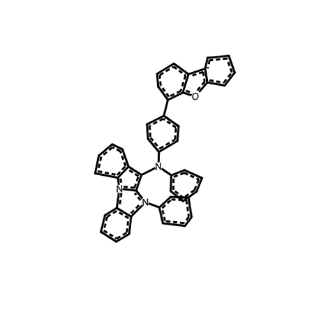 c1ccc(N(c2ccc(-c3cccc4c3oc3ccccc34)cc2)c2c3ccccc3n3c4ccccc4n(-c4ccccc4)c23)cc1